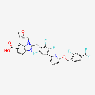 O=C(O)c1ccc2nc(Cc3c(F)cc(-c4cccc(OCc5ccc(C(F)F)cc5F)n4)c(F)c3F)n(C[C@@H]3CCO3)c2c1